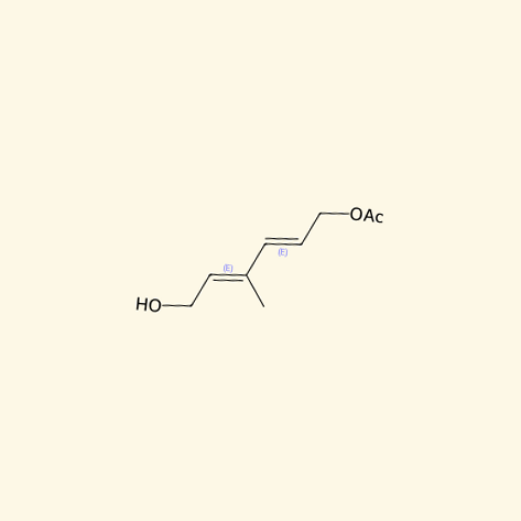 CC(=O)OC/C=C/C(C)=C/CO